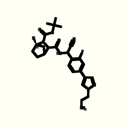 CC(C)(C)OC(=O)N1C(C(=O)NC(C#N)c2ccc(-c3cnn(CCN)c3)cc2F)C2CC[C@@H]1C2